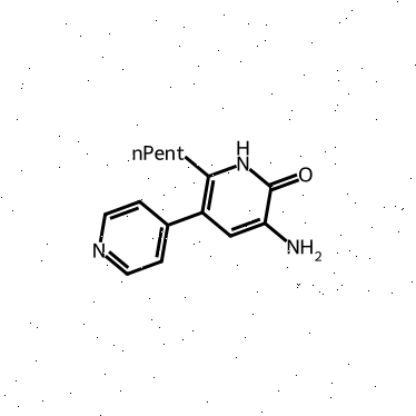 CCCCCc1[nH]c(=O)c(N)cc1-c1ccncc1